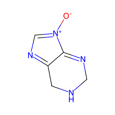 [O-][N+]1=CN=C2CNCN=C21